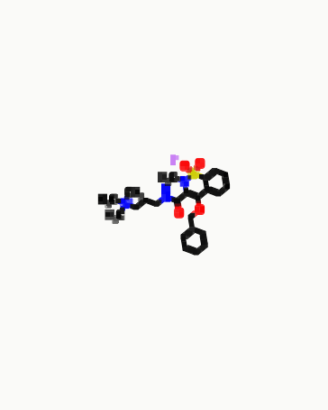 CN1C(C(=O)NCCC[N+](C)(C)C)=C(OCc2ccccc2)c2ccccc2S1(=O)=O.[I-]